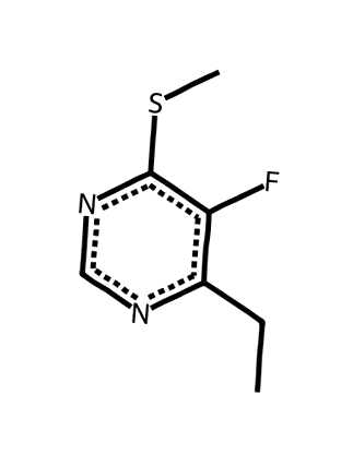 CCc1ncnc(SC)c1F